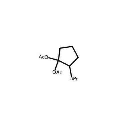 CCCC1CCCC1(OC(C)=O)OC(C)=O